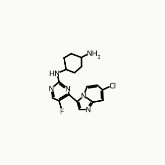 NC1CCC(Nc2ncc(F)c(-c3cnc4cc(Cl)ccn34)n2)CC1